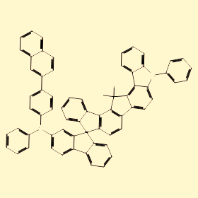 CCC1(CC)c2c(ccc3c2-c2ccccc2C32c3ccccc3-c3ccc(N(c4ccccc4)c4ccc(-c5ccc6ccccc6c5)cc4)cc32)-c2ccc3c(c21)c1ccccc1n3-c1ccccc1